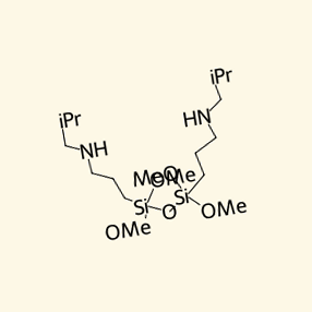 CO[Si](CCCNCC(C)C)(OC)O[Si](CCCNCC(C)C)(OC)OC